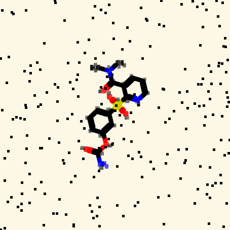 CN(C)C(=O)c1cccnc1S(=O)(=O)c1cccc(OC(N)=O)c1